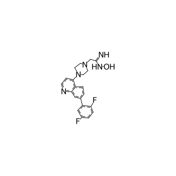 N=C(CN1CCN(c2ccnc3cc(-c4cc(F)ccc4F)ccc23)CC1)NO